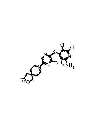 Nc1cc(Sc2ncc(N3CCC4(CC3)CO[C@@H](I)C4)nc2N)c(Cl)c(Cl)n1